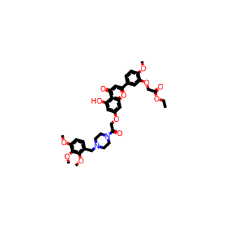 CCOC(=O)COc1cc(-c2cc(=O)c3c(O)cc(OCC(=O)N4CCN(Cc5ccc(OC)c(OC)c5OC)CC4)cc3o2)ccc1OC